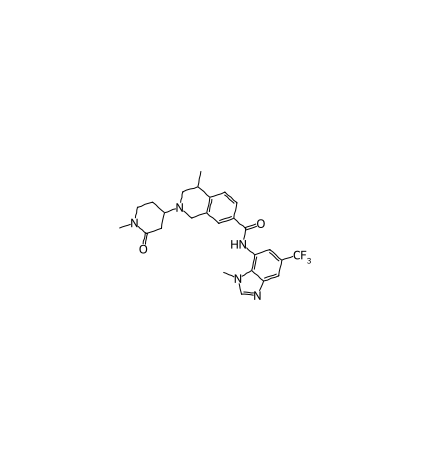 CC1CN(C2CCN(C)C(=O)C2)Cc2cc(C(=O)Nc3cc(C(F)(F)F)cc4ncn(C)c34)ccc21